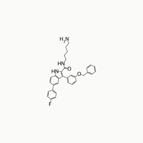 NCCCCCNC(=O)c1[nH]c2ccc(-c3ccc(F)cc3)cc2c1-c1cccc(OCc2ccccc2)c1